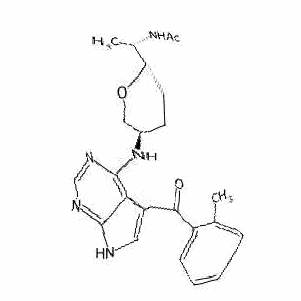 CC(=O)N[C@@H](C)[C@@H]1CC[C@@H](Nc2ncnc3[nH]cc(C(=O)c4ccccc4C)c23)CO1